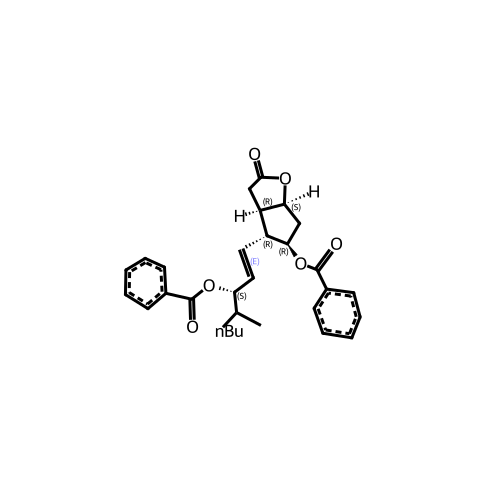 CCCCC(C)[C@@H](/C=C/[C@@H]1[C@H]2CC(=O)O[C@H]2C[C@H]1OC(=O)c1ccccc1)OC(=O)c1ccccc1